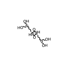 O=C1N[C@H](CCCCN(CCO)CCO)C(=O)N[C@@H]1CCCCN(CCO)CCO